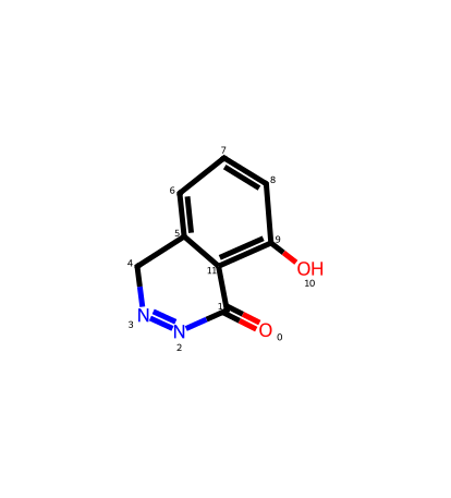 O=C1N=NCc2cccc(O)c21